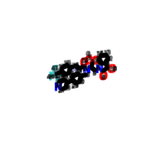 COC(=O)C(CN1C(=O)C(=O)c2ccccc21)N(Cc1ccc(-c2ccncc2)cc1)C(=O)/C=C/c1ccc(C(F)(F)F)cc1